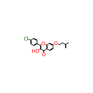 C=C(C)CCOc1ccc2c(=O)c(O)c(-c3ccc(Cl)cc3)oc2c1